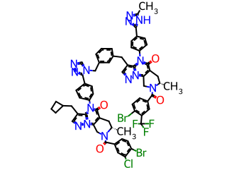 Cc1nnc(-c2ccc(-n3c(=O)c4c(n5ncc(Cc6cccc(Cn7cnnc7-c7ccc(-n8c(=O)c9c(n%10ncc(CC%11CCC%11)c8%10)CN(C(=O)c8ccc(Br)c(Cl)c8)[C@@H](C)C9)cc7)c6)c35)CN(C(=O)c3ccc(Br)c(C(F)(F)F)c3)[C@@H](C)C4)cc2)[nH]1